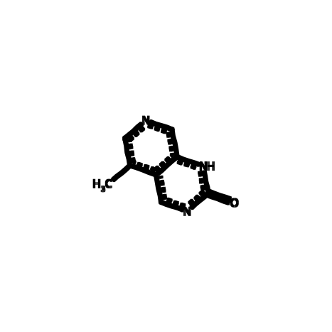 Cc1cncc2[nH]c(=O)ncc12